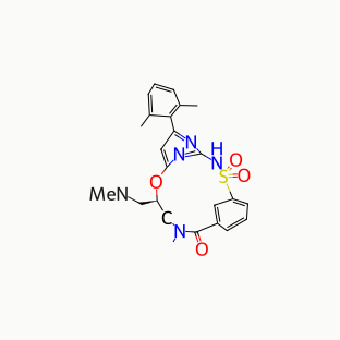 CNC[C@@H]1CN(C)C(=O)c2cccc(c2)S(=O)(=O)Nc2nc(cc(-c3c(C)cccc3C)n2)O1